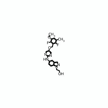 COc1cc(C)c(F)c(COc2cnc(Nc3ccc4c(cnn4CCO)c3)nc2)c1F